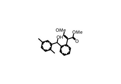 COC=C(C(=O)OC)c1ccccc1C(O)c1cc(C)ccc1C